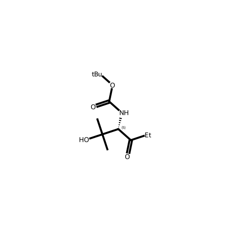 CCC(=O)[C@@H](NC(=O)OC(C)(C)C)C(C)(C)O